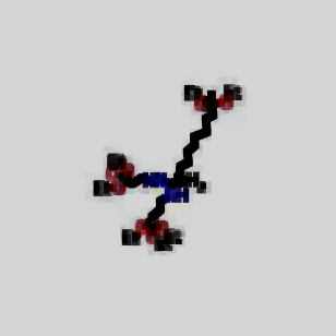 CCO[Si](C)(CCCCCCCC[SiH2]C(NCCC[Si](OCC)(OCC)OCC)NCCC[Si](OCC)(OCC)OCC)OCC